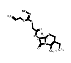 C=CCSC(=NC#N)SCC(=O)N[C@@H]1C(=O)N2C(C(=O)O)=C(COC(C)=O)CS[C@H]12